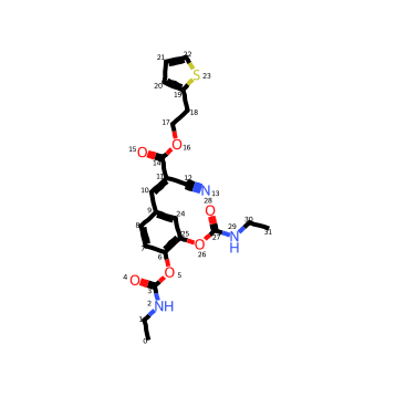 CCNC(=O)Oc1ccc(/C=C(\C#N)C(=O)OCCc2cccs2)cc1OC(=O)NCC